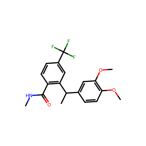 CNC(=O)c1ccc(C(F)(F)F)cc1C(C)c1ccc(OC)c(OC)c1